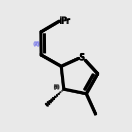 CC1=CSC(/C=C\C(C)C)[C@H]1C